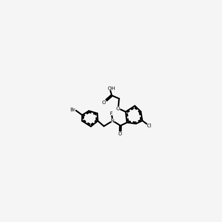 O=C(O)COc1ccc(Cl)cc1C(=O)N(F)Cc1ccc(Br)cc1